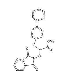 COC(=O)C(Cc1ccc(-c2ccccc2)cc1)ON1C(=O)c2ccccc2C1=O